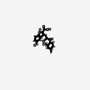 O=C(Cc1c(C(=O)O)[nH]c2ccc(Cl)cc12)Nc1ccc(F)cc1Cl